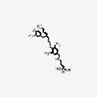 CCCCC(CCCOc1c(C)cc(CNCCCP(=O)(O)O)cc1C)Cc1ccc(C)c(C)c1